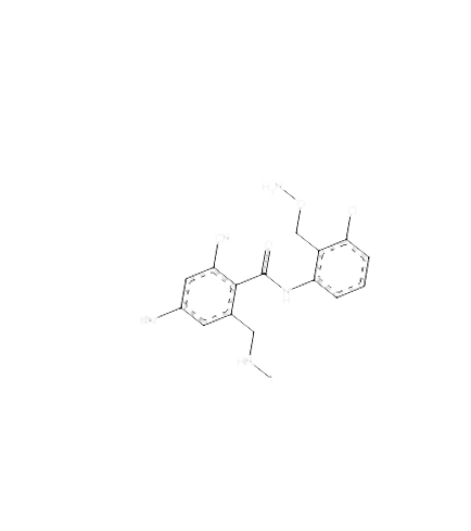 CC(C)(C)c1cc(C#N)c(C(=O)Nc2cccc(Cl)c2CON)c(CNI)c1